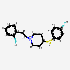 Fc1ccc(SC2CCN(CCc3ccccc3F)CC2)cc1